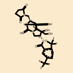 N=C1NC2[C@H](CN3C(=O)CCC3=O)NC(=N)N3C[C@@H](OC(=O)c4cc(C(F)(F)F)ccc4C(F)(F)F)C(O)C23N1CO